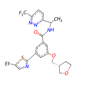 CCc1cnc(-c2cc(OC[C@@H]3CCOC3)cc(C(=O)NC(C)c3ccc(C(F)(F)F)nn3)c2)s1